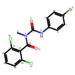 CN(C(=O)Nc1ccc(Br)cc1)C(=O)c1c(Cl)cccc1Cl